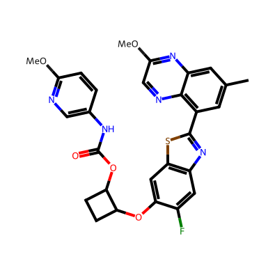 COc1ccc(NC(=O)OC2CCC2Oc2cc3sc(-c4cc(C)cc5nc(OC)cnc45)nc3cc2F)cn1